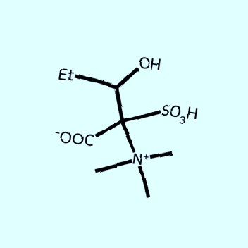 CCC(O)C(C(=O)[O-])([N+](C)(C)C)S(=O)(=O)O